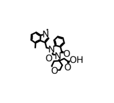 Cc1cccc2c1c(Cn1c(=O)n(C3(CC(=O)O)CCOCC3)c(=O)c3ccccc31)cn2C